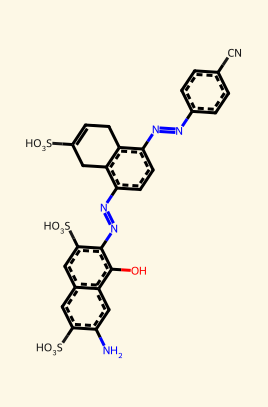 N#Cc1ccc(N=Nc2ccc(N=Nc3c(S(=O)(=O)O)cc4cc(S(=O)(=O)O)c(N)cc4c3O)c3c2CC=C(S(=O)(=O)O)C3)cc1